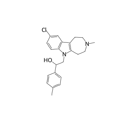 Cc1ccc(C(O)Cn2c3c(c4cc(Cl)ccc42)CCN(C)CC3)cc1